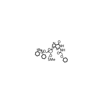 CSCOC1C[C@H](n2cnc3c(=O)[nH]c(NC(=O)COc4ccccc4)nc32)O[C@@H]1CO[Si](c1ccccc1)(c1ccccc1)C(C)(C)C